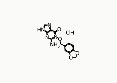 Cl.Nc1nc2[nH]cnc2c(=O)n1OCc1ccc2c(c1)OCO2